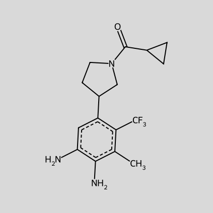 Cc1c(N)c(N)cc(C2CCN(C(=O)C3CC3)C2)c1C(F)(F)F